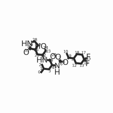 CC(C)CC(NC(=O)OC(C)C1CCC(F)(F)CC1)C(=O)NC(CO)CC1CCNC1=O